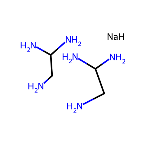 NCC(N)N.NCC(N)N.[NaH]